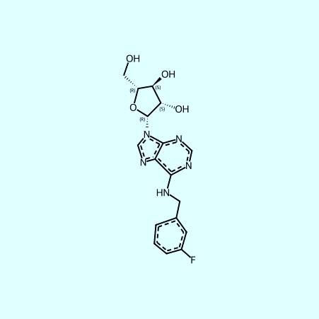 OC[C@H]1O[C@@H](n2cnc3c(NCc4cccc(F)c4)ncnc32)[C@@H](O)[C@@H]1O